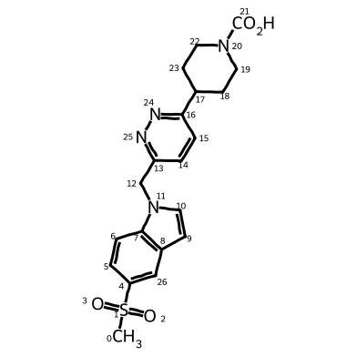 CS(=O)(=O)c1ccc2c(ccn2Cc2ccc(C3CCN(C(=O)O)CC3)nn2)c1